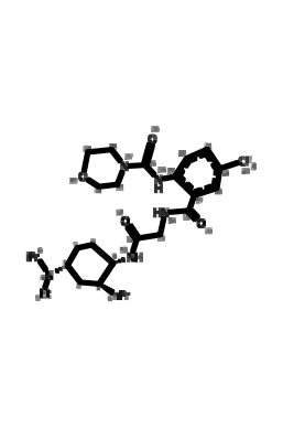 CCC[C@H]1C[C@H](N(CC)C(C)C)CC[C@@H]1NC(=O)CNC(=O)c1cc(C(F)(F)F)ccc1NC(=O)N1CCOCC1